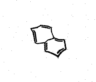 [c]1[c][c]c2[c]cc[c]c2[c]1